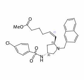 COC(=O)CCC/C=C\[C@@H]1C[C@@H](NS(=O)(=O)c2ccc(Cl)cc2)CN1Cc1ccc2ccccc2c1